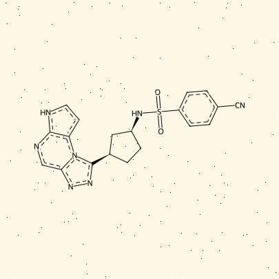 N#Cc1ccc(S(=O)(=O)N[C@H]2CC[C@@H](c3nnc4cnc5[nH]ccc5n34)C2)cc1